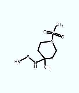 CC1(NSS)CCN(S(C)(=O)=O)CC1